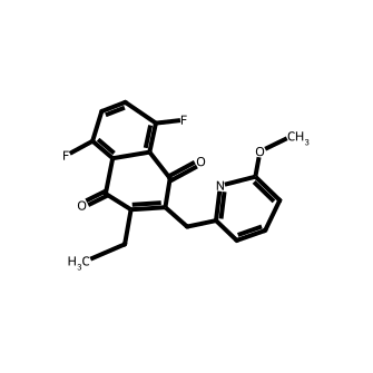 CCC1=C(Cc2cccc(OC)n2)C(=O)c2c(F)ccc(F)c2C1=O